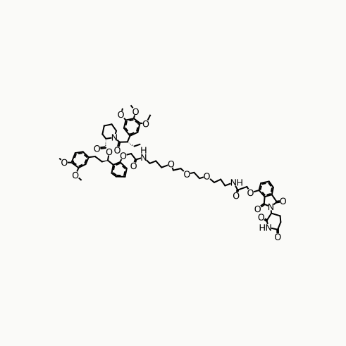 CC[C@H](C(=O)N1CCCC[C@H]1C(=O)O[C@H](CCc1ccc(OC)c(OC)c1)c1ccccc1OCC(=O)NCCCOCCOCCOCCCNC(=O)COc1cccc2c1C(=O)N(C1CCC(=O)NC1=O)C2=O)c1cc(OC)c(OC)c(OC)c1